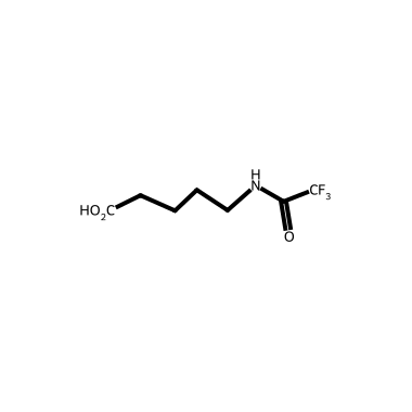 O=C(O)CCCCNC(=O)C(F)(F)F